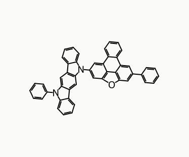 c1ccc(-c2cc3oc4cc(-n5c6ccccc6c6cc7c(cc65)c5ccccc5n7-c5ccccc5)cc5c6ccccc6c(c2)c3c45)cc1